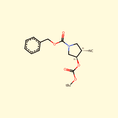 [C-]#[N+][C@H]1CN(C(=O)OCc2ccccc2)C[C@@H]1OC(=O)OC(C)(C)C